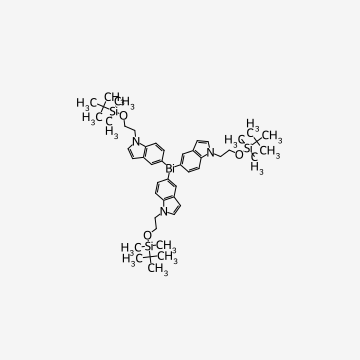 CC(C)(C)[Si](C)(C)OCCn1ccc2c[c]([Bi]([c]3ccc4c(ccn4CCO[Si](C)(C)C(C)(C)C)c3)[c]3ccc4c(ccn4CCO[Si](C)(C)C(C)(C)C)c3)ccc21